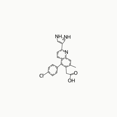 Cc1cc2nc(/C(C=N)=C/N)ccc2c(-c2ccc(Cl)cc2)c1CC(=O)O